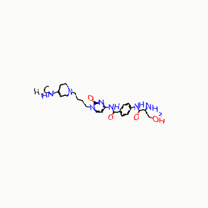 CNC1CCN(CCCCn2ccc(NC(=O)c3ccc(NC(=O)C(N)CO)cc3)nc2=O)CC1